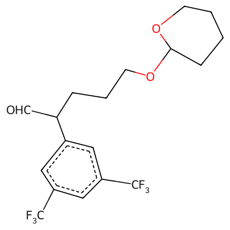 O=CC(CCCOC1CCCCO1)c1cc(C(F)(F)F)cc(C(F)(F)F)c1